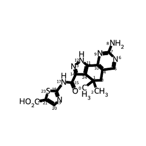 CC1(C)Cc2cnc(N)nc2-c2[nH]nc(C(=O)Nc3ncc(C(=O)O)s3)c21